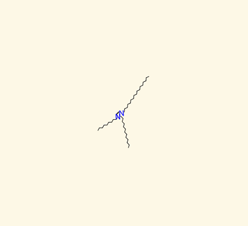 CCCCCCCCCCCCCCCCCN1C=CN(CCCCCCCCC)C1CCCCCCCCCCCC